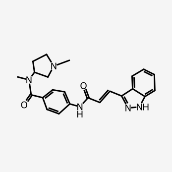 CN1CCC(N(C)C(=O)c2ccc(NC(=O)C=Cc3n[nH]c4ccccc34)cc2)C1